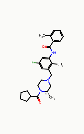 Cc1ccccc1C(=O)Nc1cc(F)cc(CN2CCN(C(=O)C3CCCC3)[C@@H](C)C2)c1C